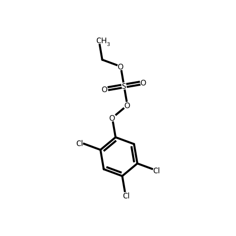 CCOS(=O)(=O)OOc1cc(Cl)c(Cl)cc1Cl